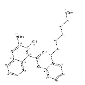 CCCCCCCCCCCCCCCCc1ccccc1OC(=O)c1c(O)c(CCCCCC)cc2ccccc12